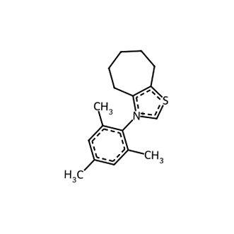 Cc1cc(C)c(-[n+]2csc3c2CCCCC3)c(C)c1